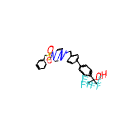 O=S(=O)(Cc1ccccc1)N1CCN(Cc2ccc(-c3ccc(C(O)(C(F)(F)F)C(F)(F)F)cc3)cc2)CC1